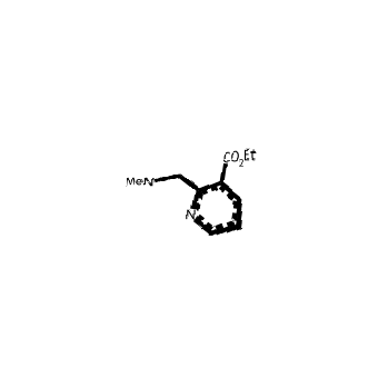 CCOC(=O)c1cccnc1CNC